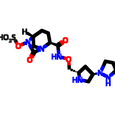 O=C(NOC[C@@H]1C[C@H](N2CCCN2)CN1)[C@@H]1CC[C@@H]2CN1C(=O)N2OS(=O)(=O)O